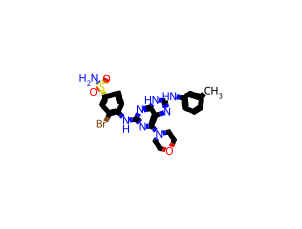 Cc1cccc(Nc2nc3c(N4CCOCC4)nc(Nc4ccc(S(N)(=O)=O)cc4Br)nc3[nH]2)c1